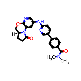 CN(C)C(=O)c1ccc(-c2ccc(Nc3cnc4c(c3)N3C(=O)CC[C@H]3CO4)nc2)cc1